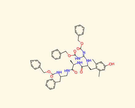 Cc1cc(O)cc(C)c1C[C@H](N/C(=N/C(=O)OCc1ccccc1)NC(=O)OCc1ccccc1)C(=O)N[C@H](C)C(=O)NCC(Cc1ccccc1)NC(=O)OCc1ccccc1